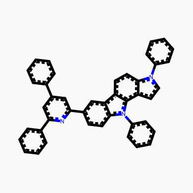 c1ccc(-c2cc(-c3ccccc3)nc(-c3ccc4c(c3)c3ccc5c(ccn5-c5ccccc5)c3n4-c3ccccc3)c2)cc1